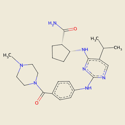 CC(C)c1cnc(Nc2ccc(C(=O)N3CCN(C)CC3)cc2)nc1N[C@@H]1CCC[C@@H]1C(N)=O